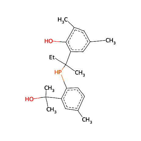 CCC(C)(Pc1ccc(C)cc1C(C)(C)O)c1cc(C)cc(C)c1O